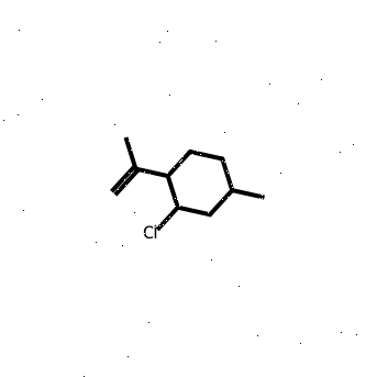 C=C(C)C1CCC(C)CC1Cl